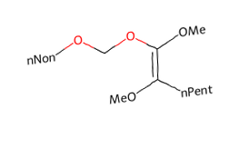 CCCCCCCCCOCOC(OC)=C(CCCCC)OC